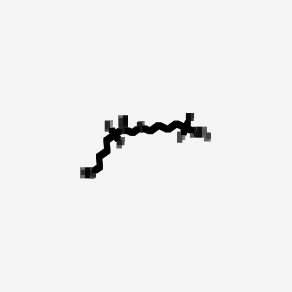 NC(F)(F)CCCCSCNC(F)(F)CCCCS